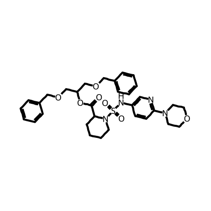 O=C(OC(COCc1ccccc1)COCc1ccccc1)C1CCCCN1S(=O)(=O)Nc1ccc(N2CCOCC2)nc1